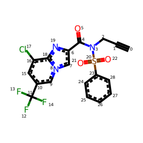 C#CCN(C(=O)c1cn2cc(C(F)(F)F)cc(Cl)c2n1)S(=O)(=O)c1ccccc1